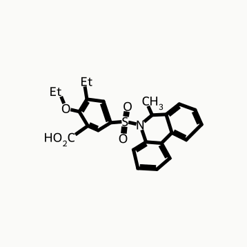 CCOc1c(CC)cc(S(=O)(=O)N2c3ccccc3-c3ccccc3C2C)cc1C(=O)O